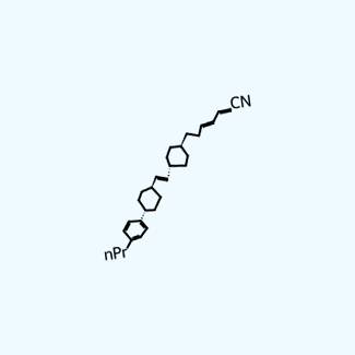 CCCc1ccc([C@H]2CC[C@H](C=C[C@H]3CC[C@H](CCC=CC=CC#N)CC3)CC2)cc1